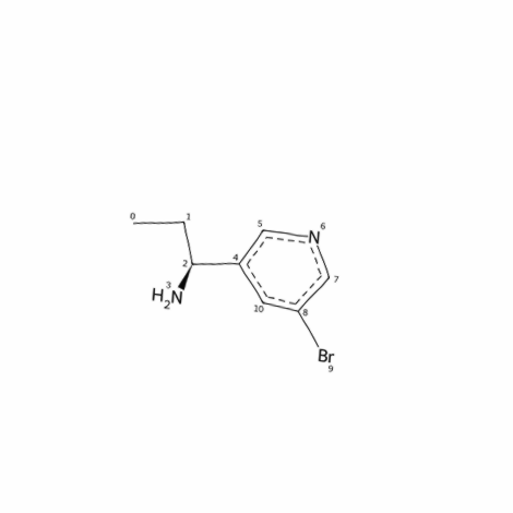 CC[C@H](N)c1cncc(Br)c1